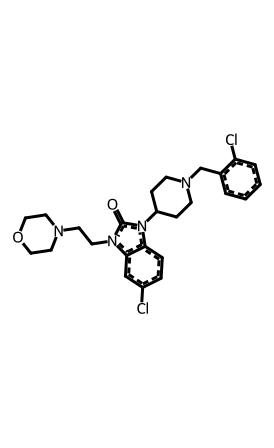 O=c1n(CCN2CCOCC2)c2cc(Cl)ccc2n1C1CCN(Cc2ccccc2Cl)CC1